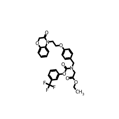 CCOC(=O)CN(Cc1ccc(OCCN2C(=O)COc3ccccc32)cc1)C(=O)Oc1cccc(C(F)(F)F)c1